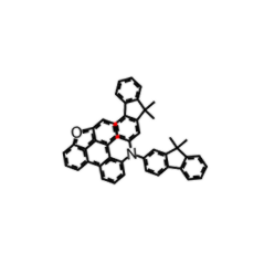 CC1(C)c2ccccc2-c2ccc(N(c3ccc4c(c3)C(C)(C)c3ccccc3-4)c3cccc4c5cccc6oc7cccc(c34)c7c65)cc21